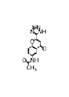 CC(=O)Nc1ccc2oc(-c3nnn[nH]3)cc(=O)c2c1